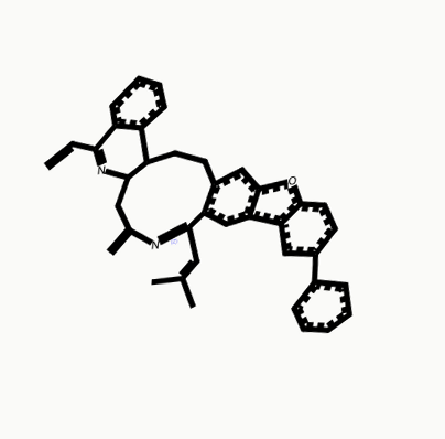 C=CC1=NC2CC(=C)/N=C(/C=C(C)C)c3cc4c(cc3CCC2c2ccccc21)oc1ccc(-c2ccccc2)cc14